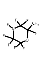 CC1(F)OC(F)(F)C(F)(F)N(F)C1(F)F